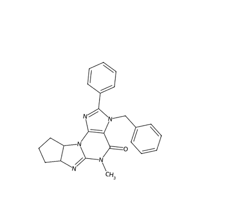 CN1C(=O)c2c(nc(-c3ccccc3)n2Cc2ccccc2)N2C1=NC1CCCC12